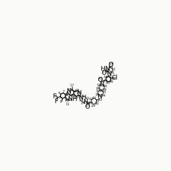 Cc1c(C(F)F)cccc1[C@@H](C)Nc1nnc(C)c2cnc(N3CCN(C(=O)C4CCC(CN5CCC6(CC5)CCN(C(=O)c5ccc(Cl)c(N7CCC(=O)NC7=O)c5)CC6)CC4)CC3)cc12